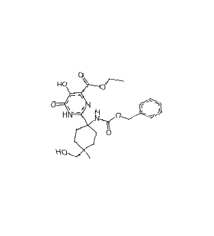 CCOC(=O)c1nc(C2(NC(=O)OCc3ccccc3)CCC(C)(CO)CC2)[nH]c(=O)c1O